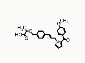 COC1C=CC(C(=O)c2cccn2C/C=C/c2ccc(CO[C@H](C)C(=O)O)cc2)=CC1